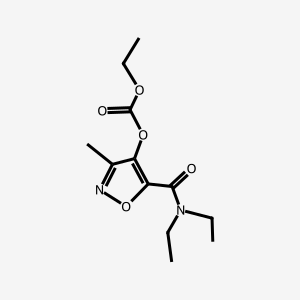 CCOC(=O)Oc1c(C)noc1C(=O)N(CC)CC